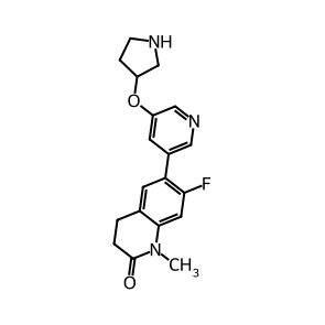 CN1C(=O)CCc2cc(-c3cncc(OC4CCNC4)c3)c(F)cc21